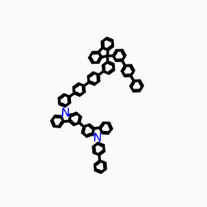 c1ccc(-c2ccc(-c3cccc(C4(c5cccc(-c6ccc(-c7ccc(-c8cccc(-n9c%10ccccc%10c%10cc(-c%11ccc%12c(c%11)c%11ccccc%11n%12-c%11ccc(-c%12ccccc%12)cc%11)ccc%109)c8)cc7)cc6)c5)c5ccccc5-c5ccccc54)c3)cc2)cc1